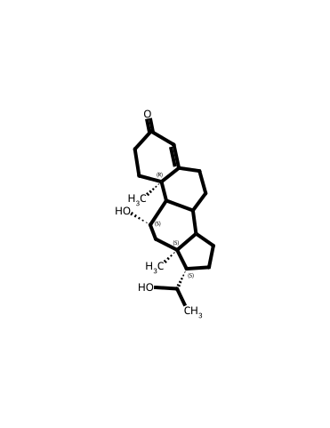 CC(O)[C@H]1CCC2C3CCC4=CC(=O)CC[C@]4(C)C3[C@@H](O)C[C@@]21C